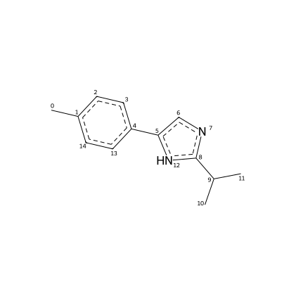 Cc1ccc(-c2cnc(C(C)C)[nH]2)cc1